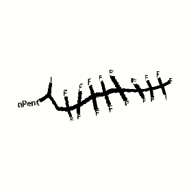 CCCCCC(I)CC(F)(F)C(F)(F)C(F)(F)C(F)(F)C(F)(F)C(F)(F)C(F)(F)C(F)(F)I